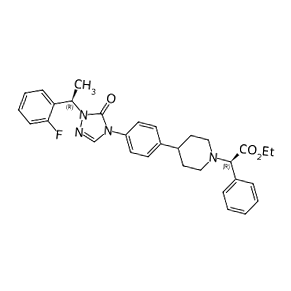 CCOC(=O)[C@@H](c1ccccc1)N1CCC(c2ccc(-n3cnn([C@H](C)c4ccccc4F)c3=O)cc2)CC1